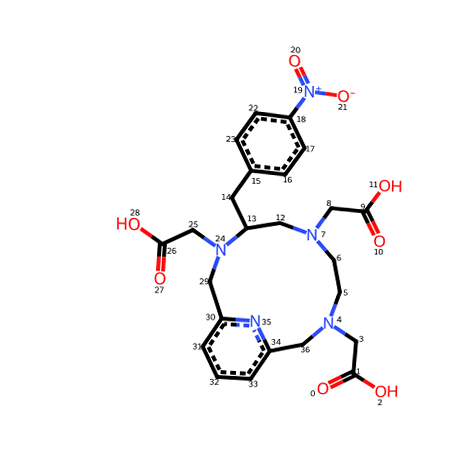 O=C(O)CN1CCN(CC(=O)O)CC(Cc2ccc([N+](=O)[O-])cc2)N(CC(=O)O)Cc2cccc(n2)C1